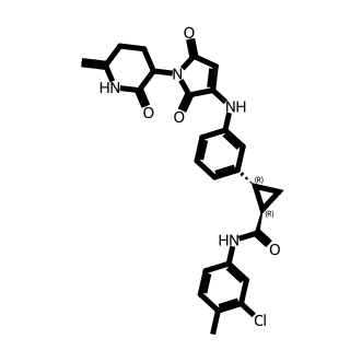 C=C1CCC(N2C(=O)C=C(Nc3cccc([C@@H]4C[C@H]4C(=O)Nc4ccc(C)c(Cl)c4)c3)C2=O)C(=O)N1